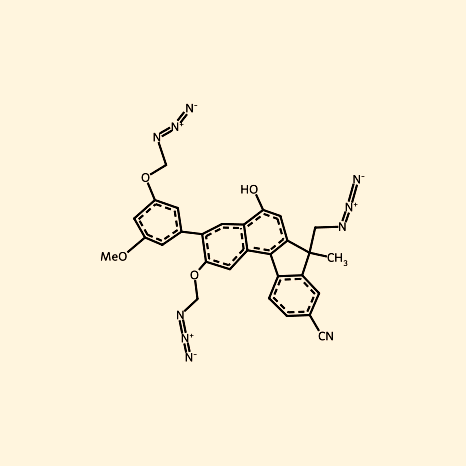 COc1cc(OCN=[N+]=[N-])cc(-c2cc3c(O)cc4c(c3cc2OCN=[N+]=[N-])-c2ccc(C#N)cc2C4(C)CN=[N+]=[N-])c1